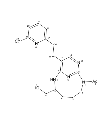 CC(=O)N1CCCC(CO)Nc2nc1ncc2OCc1cccc(C#N)n1